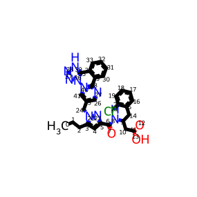 CCCc1cc(C(=O)NC(CC(=O)O)Cc2ccccc2Cl)nn1Cc1cnc(-c2ccccc2-c2nnn[nH]2)nc1